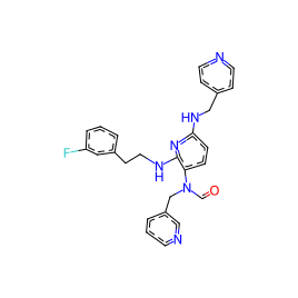 O=CN(Cc1cccnc1)c1ccc(NCc2ccncc2)nc1NCCc1cccc(F)c1